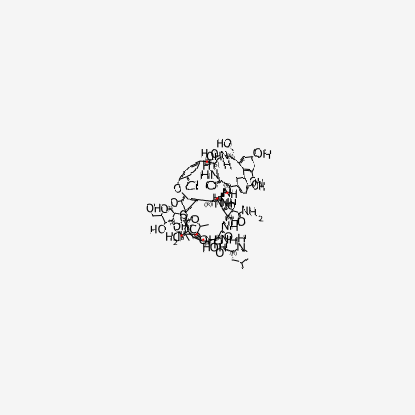 CN[C@H](CC(C)C)C(=O)N[C@H]1C(=O)N[C@@H](CC(N)=O)C(=O)N[C@H]2C(=N)N[C@H]3C(=O)N[C@H](C(=O)N[C@H](CO)C4=CC(O)CC(O)=C4C4CC3=CC=C4O)[C@H](O)C3=CC=C(Oc4cc2cc(c4O[C@H]2OC(CO)C(O)[C@H](O)C2O[C@H]2CC(C)(N)[C@H](O)C(C)O2)OC2=C(Cl)C=C(CC2)[C@H]1O)C(Cl)C3